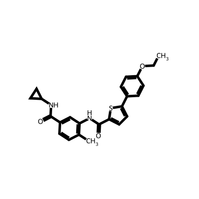 CCOc1ccc(-c2ccc(C(=O)Nc3cc(C(=O)NC4CC4)ccc3C)s2)cc1